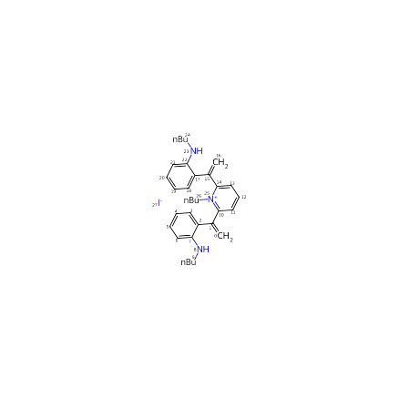 C=C(c1ccccc1NCCCC)c1cccc(C(=C)c2ccccc2NCCCC)[n+]1CCCC.[I-]